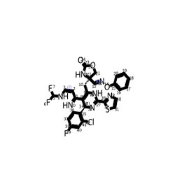 N=C(/C=C\NC(F)F)C1=C(C[C@@]2(/C=N/Oc3ccccc3)COC(=O)N2)NC(c2nccs2)=N[C@H]1c1ccc(F)cc1Cl